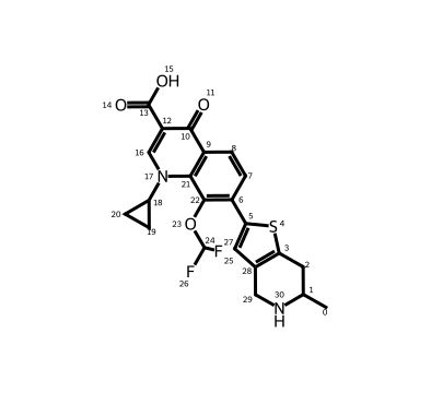 CC1Cc2sc(-c3ccc4c(=O)c(C(=O)O)cn(C5CC5)c4c3OC(F)F)cc2CN1